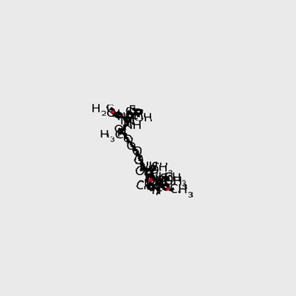 C=CC(=O)N1CCN(c2nc(NCCC(=O)N(C)CCOCCOCCOCCOCCNC(=O)c3ccc(NC(=O)[C@@H]4N[C@@H](CC(C)(C)C)[C@](C#N)(c5ccc(CC)cc5F)[C@H]4c4cccc(Cl)c4F)c(OC)c3)nc3c(F)c(-c4c(O)cccc4F)c(Cl)cc23)CC1